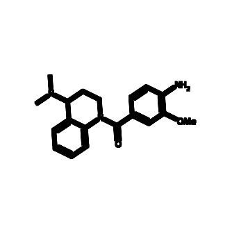 COc1cc(C(=O)N2CCC(N(C)C)c3ccccc32)ccc1N